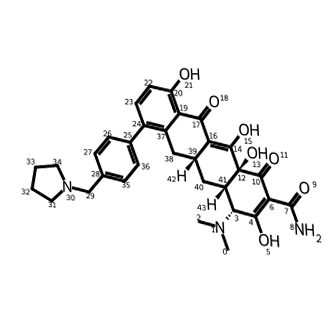 CN(C)[C@H]1C(O)=C(C(N)=O)C(=O)[C@@]2(O)C(O)=C3C(=O)c4c(O)ccc(-c5ccc(CN6CCCC6)cc5)c4C[C@H]3C[C@@H]12